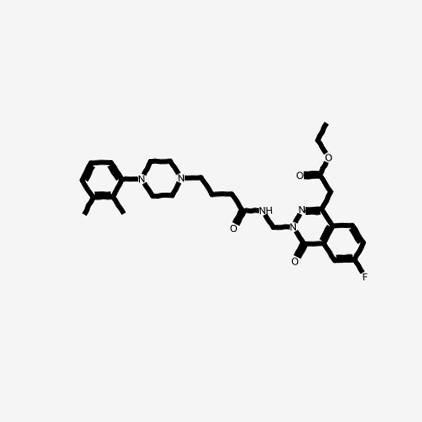 CCOC(=O)Cc1nn(CNC(=O)CCCN2CCN(c3cccc(C)c3C)CC2)c(=O)c2cc(F)ccc12